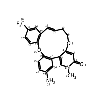 Cn1cc2c(cc1=O)OCC/C=C/c1cc(C(F)(F)F)ccc1Oc1ccc(N)cc1-2